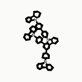 C1=CC2c3ccccc3N(c3ccc(-c4ccc(N5c6c(-c7ccc(-n8c9ccccc9c9ccccc98)cc7)cc(-c7ccc(-n8c9ccccc9c9ccccc98)cc7)cc6C6C=CC=CC65)cc4)cc3)C2C=C1